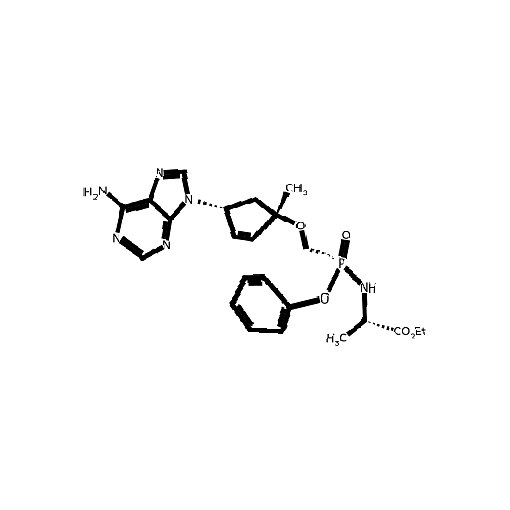 CCOC(=O)[C@H](C)N[P@@](=O)(CO[C@]1(C)C=C[C@H](n2cnc3c(N)ncnc32)C1)Oc1ccccc1